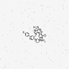 Nc1ncnc2c1ncn2Cc1cc(-c2ccc(F)cc2)ncc1N1CCC[C@](N)(c2ccc(F)c(Cl)n2)C1